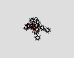 c1ccc(-c2ccc(-c3nc(-c4ccccc4)nc(-c4c(-n5c6ccccc6c6cc(-c7ccccc7)ccc65)ccc5oc6cccc(-c7cccc8c7oc7ccccc78)c6c45)n3)cc2)cc1